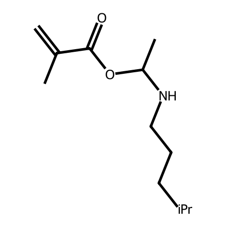 C=C(C)C(=O)OC(C)NCCCC(C)C